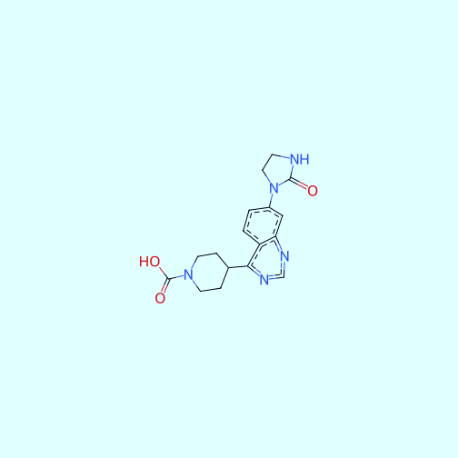 O=C(O)N1CCC(c2ncnc3cc(N4CCNC4=O)ccc23)CC1